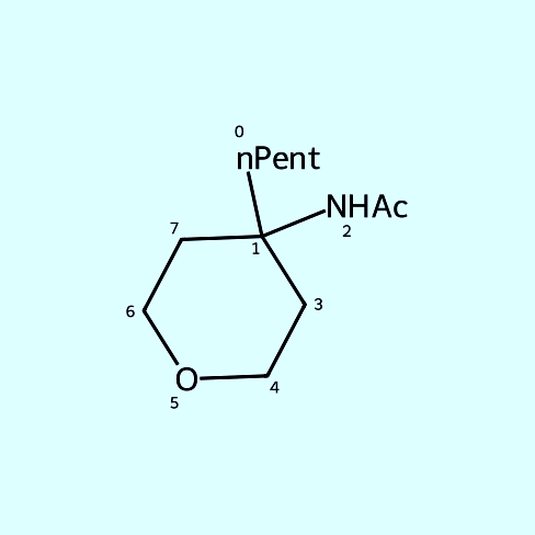 CCCCCC1(NC(C)=O)CCOCC1